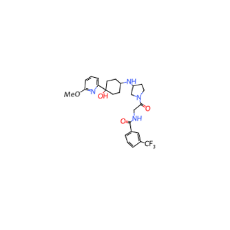 COc1cccc(C2(O)CCC(NC3CCN(C(=O)CNC(=O)c4cccc(C(F)(F)F)c4)C3)CC2)n1